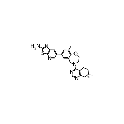 Cc1cc(-c2cnc3sc(N)nc3c2)cc2c1OCCN(c1ncnc3c1CC[C@H](C)C3)C2